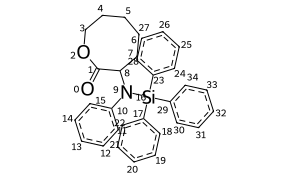 O=C1OCCCCCC1N(c1ccccc1)[Si](c1ccccc1)(c1ccccc1)c1ccccc1